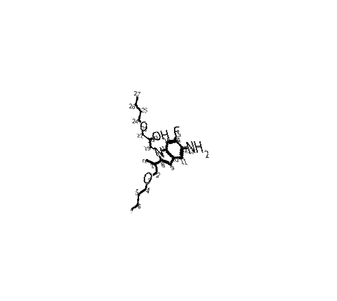 C=C(COCCCC)c1cc2cc(N)c(F)cc2n1CC(O)COCCCC